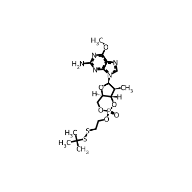 COc1nc(N)nc2c1ncn2[C@@H]1O[C@@H]2COP(=O)(OCCSSC(C)(C)C)O[C@H]2[C@@H]1C